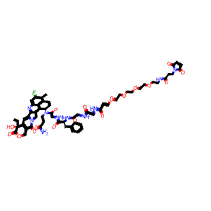 CC[C@@]1(O)C(=O)OCc2c1cc1n(c2=O)Cc2c-1nc1cc(F)c(C)c3c1c2[C@@H](N(CCC(N)=O)C(=O)CNC(=O)[C@H](Cc1ccccc1)NC(=O)CNC(=O)CNC(=O)CCOCCOCCOCCOCCNC(=O)CCN1C(=O)C=CC1=O)CC3